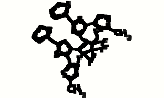 Cc1ccc(-c2sc(-c3cccs3)cc2C2=C(c3cc(-c4cccs4)sc3-c3ccc(C)s3)C(F)(F)C(F)(F)C2(F)F)s1